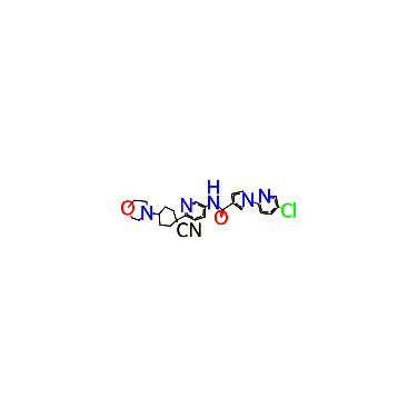 N#C[C@]1(c2ccc(NC(=O)c3ccn(-c4ccc(Cl)cn4)c3)cn2)CC[C@H](N2CCOCC2)CC1